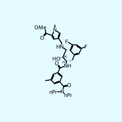 CCCN(CCC)C(=O)c1cc(C)cc(C(=O)N[C@@H](Cc2cc(F)cc(F)c2)[C@H](O)CNCc2cc(C(=O)OC)n(C)c2)c1